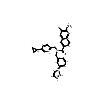 Cc1cc2cc(C(=O)N(Cc3cccc(-n4ccnn4)c3)Cc3ccc(C4CC4)cn3)ccc2nc1N